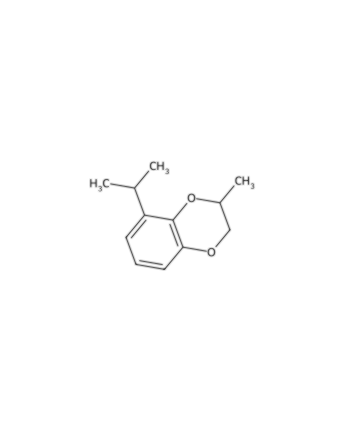 CC1COc2cccc(C(C)C)c2O1